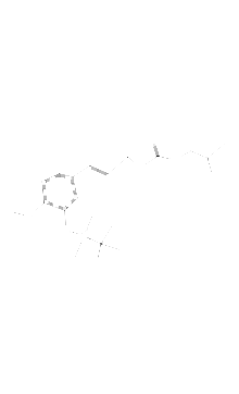 COc1ccc(/C=C/COC(=O)OCC(C)C)cc1O[Si](C)(C)C(C)(C)C